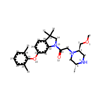 COC[C@H]1CN[C@H](C)CN1CC(=O)N1CC(C)(C)c2ccc(Oc3c(C)cccc3C)cc21